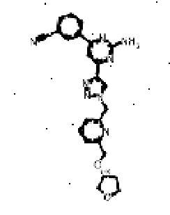 N#Cc1cccc(-c2cc(-c3cn(Cc4cccc(CO[C@@H]5CCOC5)n4)nn3)nc(N)n2)c1